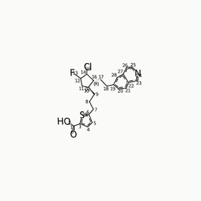 O=C(O)c1ccc(CCC[C@H]2CC(F)C(Cl)[C@@H]2CCc2ccc3cnccc3c2)s1